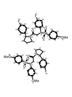 COc1ccc(N(CC(=O)N2CCCC2c2ccc(F)cc2)S(=O)(=O)c2ccc(OC)cc2)cc1.COc1ccc(S(=O)(=O)N(CC(=O)N2CCCC2c2ccc(F)cc2)c2ccc(F)cc2)cc1